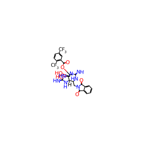 N=C1N[C@H]2C(CN3C(=O)c4ccccc4C3=O)NC(=N)N3CC(OC(=O)c4cc(C(F)(F)F)ccc4C(F)(F)F)C(O)(O)[C@]23N1